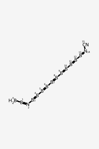 BB=NB=BB=BB=BB=BB=BB=NC#N